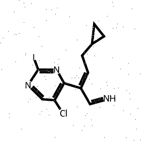 N=C/C(=C/CC1CC1)c1nc(I)ncc1Cl